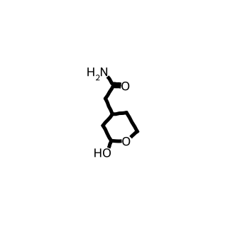 NC(=O)CC1CCOC(O)C1